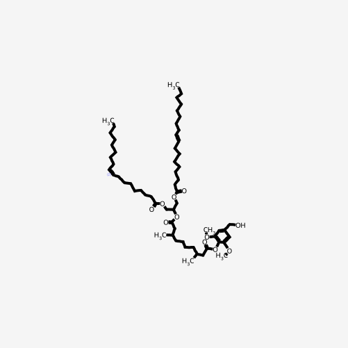 CCCCCCCCC=CCCCCCCCC(=O)OCC(COC(=O)CCCCCCC/C=C\CCCCCCCC)OC(=O)CC(C)CCCCC(C)CC(=O)Oc1c(OC)cc(CO)cc1OC